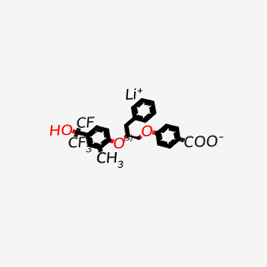 Cc1cc(C(O)(C(F)(F)F)C(F)(F)F)ccc1O[C@H](COc1ccc(C(=O)[O-])cc1)Cc1ccccc1.[Li+]